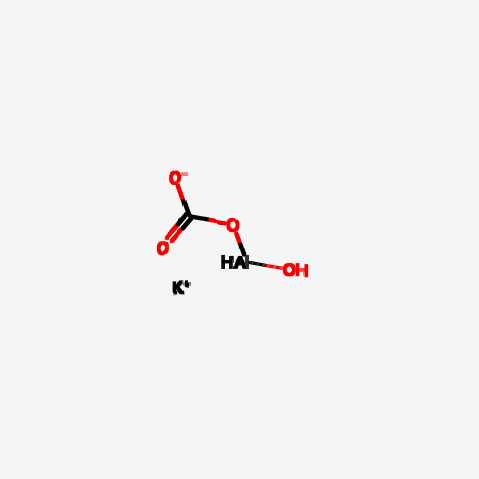 O=C([O-])[O][AlH][OH].[K+]